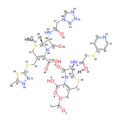 CC(=O)OCC1=C(C(=O)O)N2C(=O)[C@@H](NC(=O)CSc3ccncc3)[C@H]2SC1.Cc1nnc(SCC2=C(C(=O)O)N3C(=O)[C@@H](NC(=O)Cn4cnnn4)[C@H]3SC2)s1.[NaH]